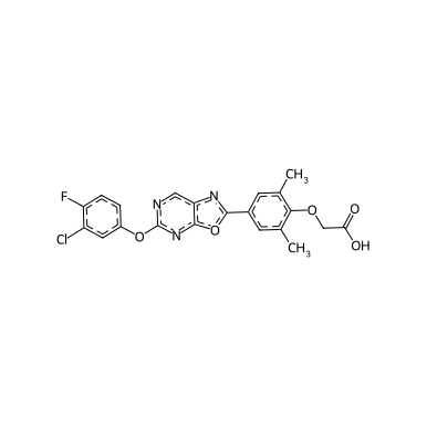 Cc1cc(-c2nc3cnc(Oc4ccc(F)c(Cl)c4)nc3o2)cc(C)c1OCC(=O)O